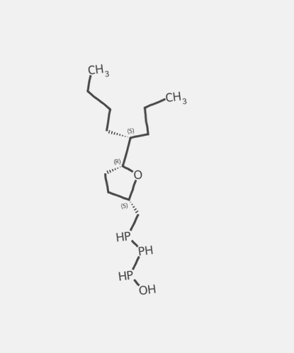 CCCC[C@H](CCC)[C@H]1CC[C@@H](CPPPO)O1